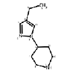 CCc1cnn(C2CCNCC2)c1